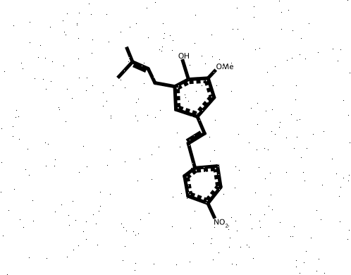 COc1cc(/C=C/c2ccc([N+](=O)[O-])cc2)cc(CC=C(C)C)c1O